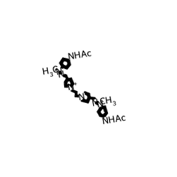 CC(=O)Nc1ccc(N(C)/N=C/c2cc[n+](CCC[n+]3ccc(/C=N/N(C)c4ccc(NC(C)=O)cc4)cc3)cc2)cc1